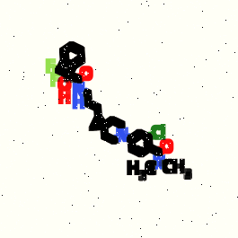 CN(C)C(=O)c1ccc(N2CCC3(CC2)CC3CCCNC(=O)[C@]2(O)c3ccccc3C2(F)F)cc1Cl